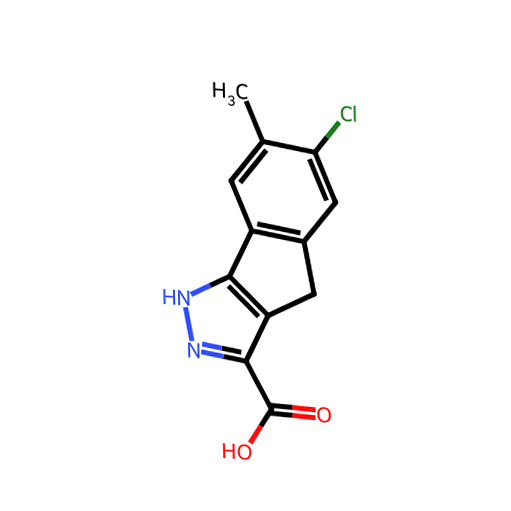 Cc1cc2c(cc1Cl)Cc1c(C(=O)O)n[nH]c1-2